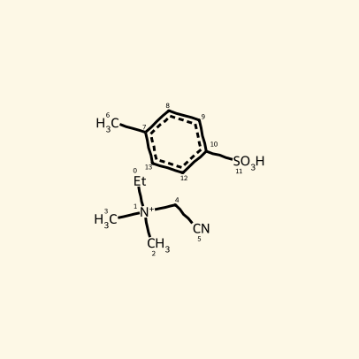 CC[N+](C)(C)CC#N.Cc1ccc(S(=O)(=O)O)cc1